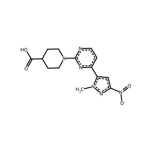 Cn1nc([N+](=O)[O-])cc1-c1ccnc(N2CCC(C(=O)O)CC2)n1